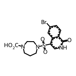 O=C(O)N1CCCN(S(=O)(=O)c2c[nH]c(=O)c3ccc(Br)cc23)CC1